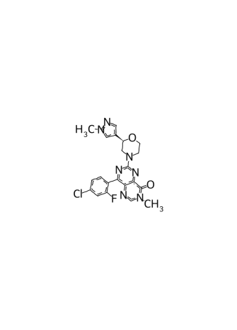 Cn1cc([C@@H]2CN(c3nc(-c4ccc(Cl)cc4F)c4ncn(C)c(=O)c4n3)CCO2)cn1